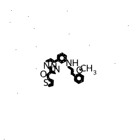 COc1ccccc1C=CCNc1cccc(-c2ccnc3c(C(=O)c4cccs4)cnn23)c1